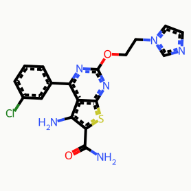 NC(=O)c1sc2nc(OCCn3ccnc3)nc(-c3cccc(Cl)c3)c2c1N